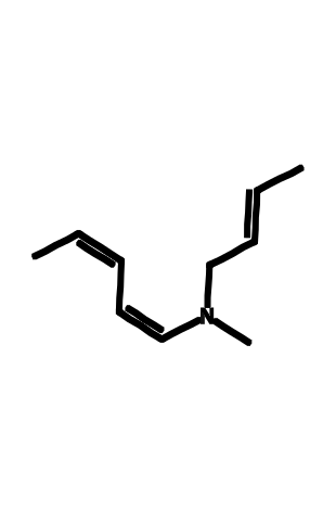 C/C=C\C=C/N(C)C/C=C/C